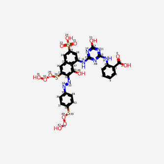 O=C(O)c1ccccc1Nc1nc(O)nc(Nc2cc(S(=O)(=O)O)cc3cc(SOOO)c(/N=N/c4ccc(SOOO)cc4)c(O)c23)n1